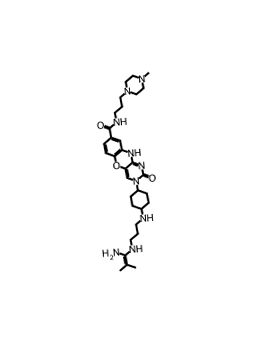 CC(C)=C(N)NCCCNC1CCC(n2cc3c(nc2=O)Nc2cc(C(=O)NCCCN4CCN(C)CC4)ccc2O3)CC1